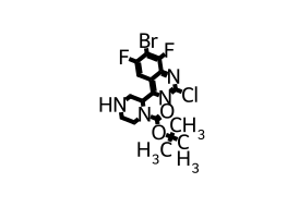 CC(C)(C)OC(=O)N1CCNCC1c1nc(Cl)nc2c(F)c(Br)c(F)cc12